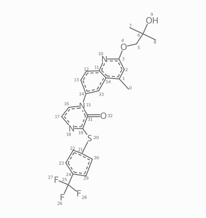 Cc1cc(OCC(C)(C)O)nc2ccc(-n3ccnc(Sc4ccc(C(F)(F)F)cc4)c3=O)cc12